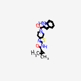 CC1(C)CC1C(=O)Nc1nc2c(s1)CN(C(=O)c1cc3ccccc3[nH]1)CC2